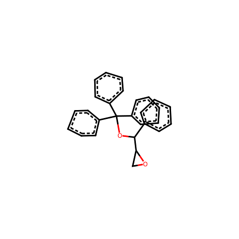 c1ccc(C(OC(c2ccccc2)(c2ccccc2)c2ccccc2)C2CO2)cc1